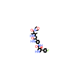 Cc1[nH]c(C=C2C(=O)Nc3cc(NC(=O)c4c[nH]cc(-c5ccc(F)cc5)c4=O)ccc32)c(C)c1C(=O)N1CCOCC1